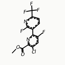 COC(=O)c1nc(-c2ccc(C(F)(F)F)nc2F)c(F)cc1Cl